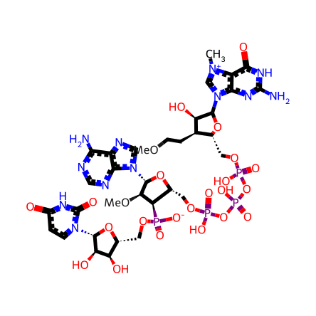 COCC[C@@H]1[C@@H](COP(=O)(O)OP(=O)(O)OP(=O)(O)OC[C@H]2O[C@@H](n3cnc4c(N)ncnc43)[C@H](OC)[C@@H]2P(=O)([O-])OC[C@H]2O[C@@H](n3ccc(=O)[nH]c3=O)[C@H](O)[C@@H]2O)OC(n2c[n+](C)c3c(=O)[nH]c(N)nc32)[C@@H]1O